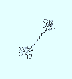 NC(=O)C1(C(=O)C(Cc2ccccc2)NCCCCCCCCCCCCCNC(Cc2ccccc2)C(=O)C2(C(N)=O)C=CC=CC2)C=CC=CC1